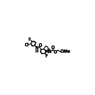 COCCOC(=O)N[C@H]1CCc2c(C(=O)Nc3ccc(F)c(Cl)c3)ccc(F)c21